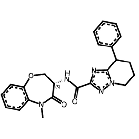 CN1C(=O)[C@@H](NC(=O)c2nc3n(n2)CCCC3c2ccccc2)COc2ccccc21